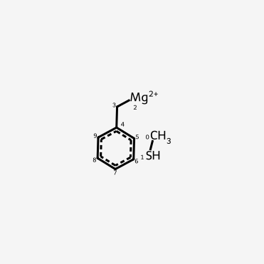 CS.[Mg+2][CH2]c1ccccc1